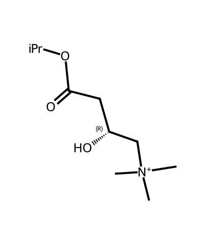 CC(C)OC(=O)C[C@@H](O)C[N+](C)(C)C